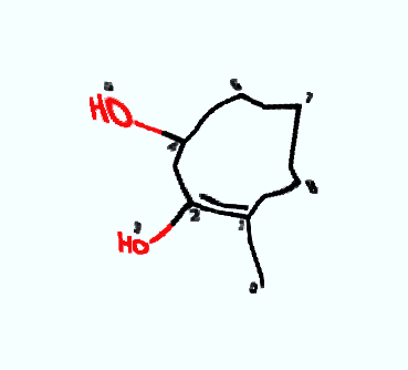 CC1=C(O)C(O)CCC1